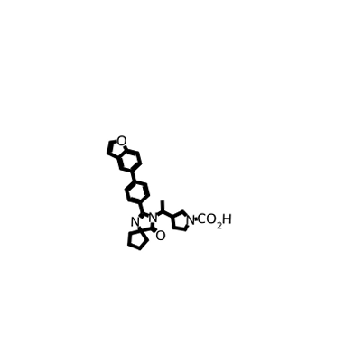 CC(C1CCN(C(=O)O)C1)N1C(=O)C2(CCCC2)N=C1c1ccc(-c2ccc3occc3c2)cc1